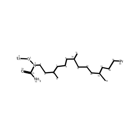 CCON(CCC(C)CCCC(C)CCCC(C)CCCC(C)C)C(N)=O